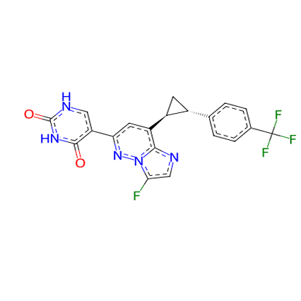 O=c1[nH]cc(-c2cc([C@H]3C[C@@H]3c3ccc(C(F)(F)F)cc3)c3ncc(F)n3n2)c(=O)[nH]1